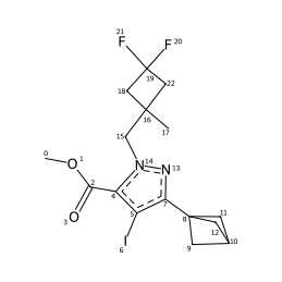 COC(=O)c1c(I)c(C23CC(C2)C3)nn1CC1(C)CC(F)(F)C1